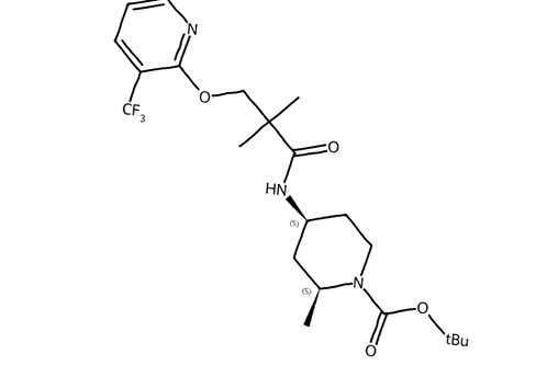 C[C@H]1C[C@@H](NC(=O)C(C)(C)COc2ncccc2C(F)(F)F)CCN1C(=O)OC(C)(C)C